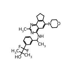 Cc1nc(NC(C)c2cccc(C(F)(F)C(C)(C)O)c2)c2cc(N3CCOCC3)c3c(c2n1)CCC3